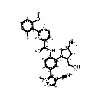 COc1cccc(F)c1-c1nccc(C(=O)Nc2ccc(-c3c(C#N)cnn3C)cc2N2CC(N)CC2CO)n1